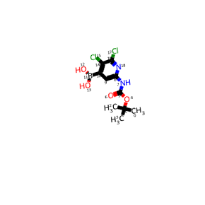 CC(C)(C)OC(=O)Nc1cc(B(O)O)c(Cl)c(Cl)n1